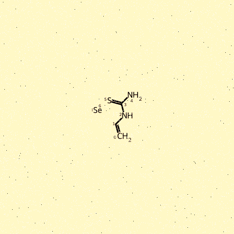 C=CNC(N)=S.[Se]